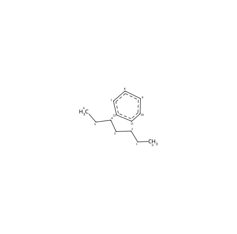 CCCCCCC.c1ccccc1